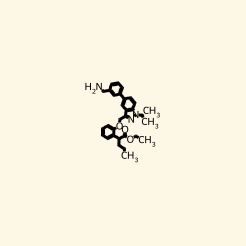 CCCC(C(=O)OCC)c1ccccc1OCc1nn(C(C)C)c2ccc(-c3cccc(CN)c3)cc12